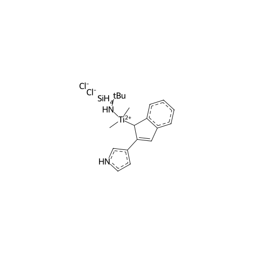 CC(C)(C)[NH][Ti+2]([CH3])([CH3])[CH]1C(c2cc[nH]c2)=Cc2ccccc21.[Cl-].[Cl-].[SiH4]